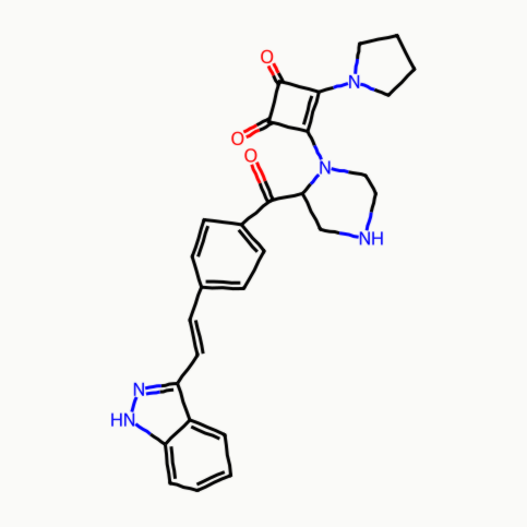 O=C(c1ccc(C=Cc2n[nH]c3ccccc23)cc1)C1CNCCN1c1c(N2CCCC2)c(=O)c1=O